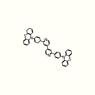 C1=CC2=C(CC1)Sc1ccccc1N2C1=CCC(c2cc(-c3ccnc(-c4ccc(N5c6ccccc6Sc6ccccc65)cc4)c3)ccn2)C=C1